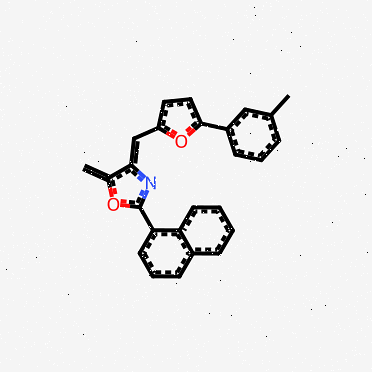 C=c1oc(-c2cccc3ccccc23)n/c1=C\c1ccc(-c2cccc(C)c2)o1